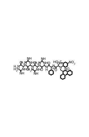 N=C(N)NC(NC(=O)C(NC(=N)N)NC(=O)C(NC(=N)N)NC(=O)C(NC(=N)N)NC(=O)C(NC(=O)C(O)N(Cc1cc2ccccc2c2ccccc12)c1c(C(=O)O)cc([N+](=O)[O-])cc1[N+](=O)[O-])c1ccccc1)C(N)=O